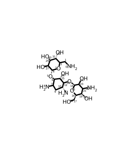 NCC1O[C@H](O[C@@H]2C(N)C[C@@H](N)C(O[C@@H]3O[C@H](CO)[C@H](O)C(N)C3O)[C@H]2O)C(O)[C@@H](O)[C@@H]1O